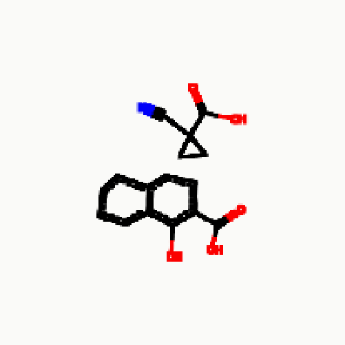 N#CC1(C(=O)O)CC1.O=C(O)c1ccc2ccccc2c1O